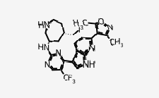 Cc1noc(C)c1-c1ccc2c(-c3nc(N[C@@H]4CNCC[C@H](CI)C4)ncc3C(F)(F)F)c[nH]c2n1